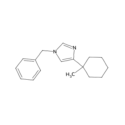 CC1(c2cn(Cc3ccccc3)cn2)CCCCC1